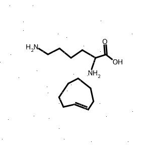 C1=C/CCCCCC/1.NCCCCC(N)C(=O)O